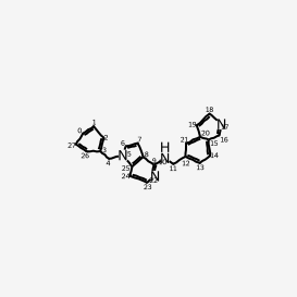 c1ccc(Cn2ccc3c(NCc4ccc5cnccc5c4)nccc32)cc1